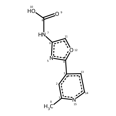 Cc1cc(-c2nc(NC(=O)O)co2)ccn1